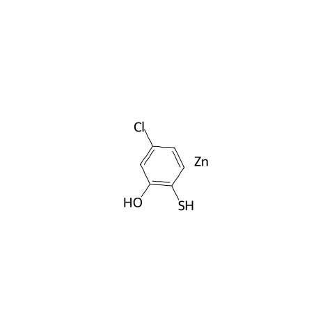 Oc1cc(Cl)ccc1S.[Zn]